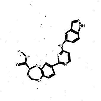 CC(C)NC(=O)C1CCOc2ccc(-c3nccc(Nc4ccc5[nH]ncc5c4)n3)cc2N1